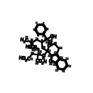 CCC(O)(c1ccccc1)C(CN(C)C)CC1(OC(CC(=O)O)(CC(=O)O)C(=O)O)OCCc2c1oc1ccccc21